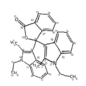 CCn1c(C)c(C2(c3c(C)n(CC)c4ccccc34)OC(=O)c3ccccc32)c2ccccc21